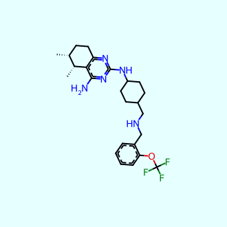 C[C@@H]1CCc2nc(NC3CCC(CNCc4ccccc4OC(F)(F)F)CC3)nc(N)c2[C@@H]1C